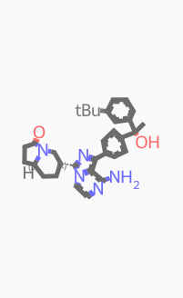 CC(C)(C)c1cccc(C(C)(O)c2ccc(-c3nc([C@@H]4CC[C@H]5CCC(=O)N5C4)n4ccnc(N)c34)cc2)c1